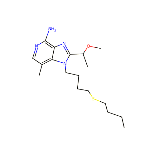 CCCCSCCCCn1c(C(C)OC)nc2c(N)ncc(C)c21